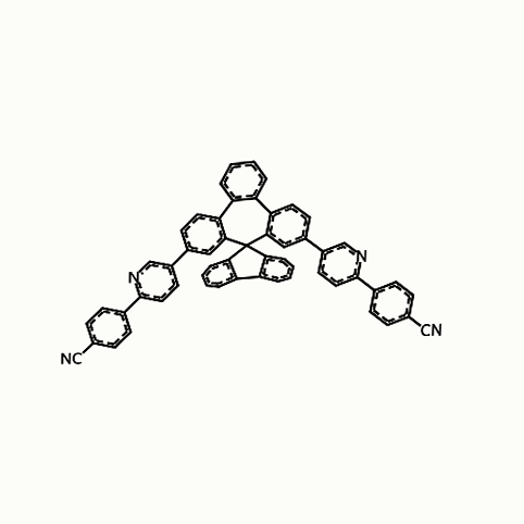 N#Cc1ccc(-c2ccc(-c3ccc4c(c3)C3(c5cc(-c6ccc(-c7ccc(C#N)cc7)nc6)ccc5-c5ccccc5-4)c4ccccc4-c4ccccc43)cn2)cc1